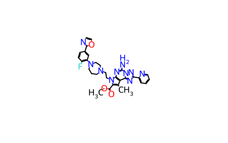 COC(=O)c1c(C)c2c(nc(N)n3nc(-c4ccccn4)nc23)n1CCN1CCCN(c2cc(-c3ncco3)ccc2F)CC1